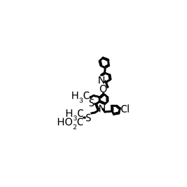 CC1Cc2c(OCc3ccc(-c4ccccc4)cn3)ccc3c2c(c(CCSC(C)C(=O)O)n3Cc2ccc(Cl)cc2)S1